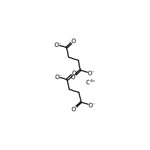 O=C([O-])CCC(=O)[O-].O=C([O-])CCC(=O)[O-].[C+4]